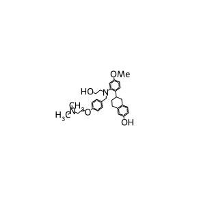 COc1ccc(C2CCc3cc(O)ccc3C2)c(N(CCO)Cc2ccc(OCCN(C)C)cc2)c1